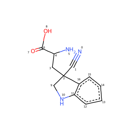 N#CC1(CC(N)C(=O)O)CNc2ccccc21